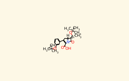 C[C@@H](O[Si](C)(C)C)[C@H]1C(=O)N2C(C(=O)O)=C(c3cccc(O[Si](C)(C)C)c3)C[C@H]12